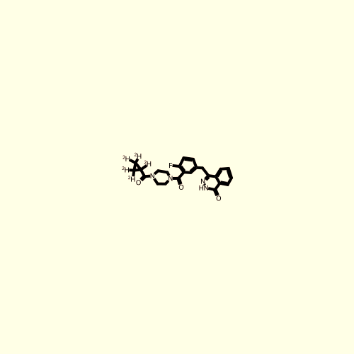 [2H]C1([2H])C([2H])([2H])C1([2H])C(=O)N1CCN(C(=O)c2cc(Cc3n[nH]c(=O)c4ccccc34)ccc2F)CC1